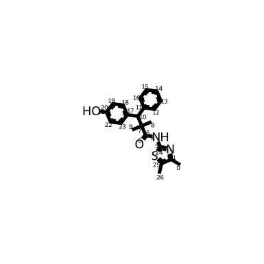 Cc1nc(NC(=O)C(C)(C)C(c2ccccc2)c2ccc(O)cc2)sc1C